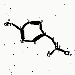 CCCc1ccc(C[SiH](Cl)Cl)cc1